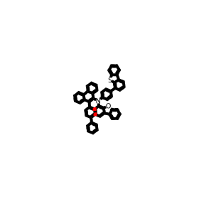 c1ccc(-c2ccc(-c3c(N(c4ccc(-c5cccc6c5sc5ccccc56)cc4)c4cccc5c4oc4ccccc45)c4ccccc4c4ccccc34)cc2)cc1